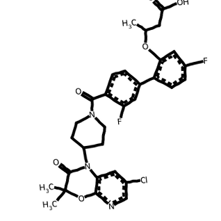 CC(CC(=O)O)Oc1cc(F)ccc1-c1ccc(C(=O)N2CCC(N3C(=O)C(C)(C)Oc4ncc(Cl)cc43)CC2)c(F)c1